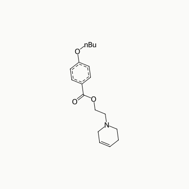 CCCCOc1ccc(C(=O)OCCN2CC=CCC2)cc1